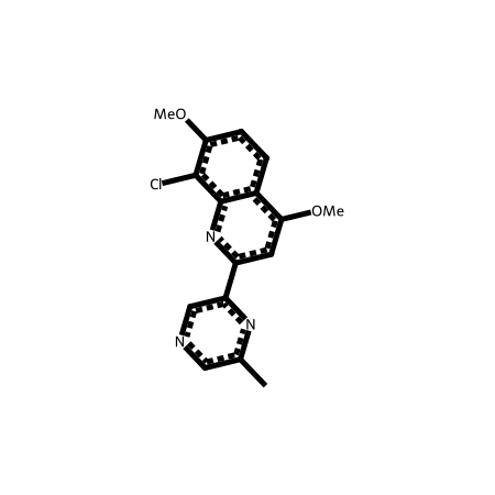 COc1ccc2c(OC)cc(-c3cncc(C)n3)nc2c1Cl